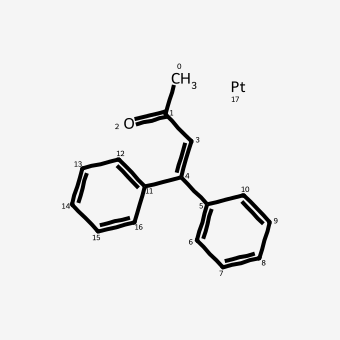 CC(=O)C=C(c1ccccc1)c1ccccc1.[Pt]